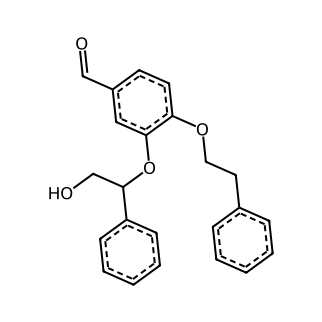 O=Cc1ccc(OCCc2ccccc2)c(OC(CO)c2ccccc2)c1